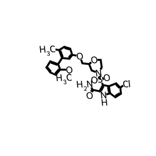 COc1ccccc1-c1cc(OCC2CN(S(=O)(=O)c3c(C(N)=O)[nH]c4ccc(Cl)cc34)CCO2)ccc1C